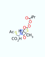 CC(=O)SC[C@H](NC(=O)C(C)(C)SC(=O)OCOC(=O)C(C)C)C(=O)O